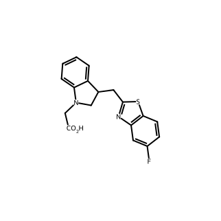 O=C(O)CN1CC(Cc2nc3cc(F)ccc3s2)c2ccccc21